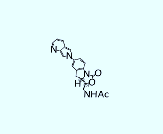 CC(=O)NC[C@@H]1OC(=O)N2c3ccc(-n4cc5cccnc5c4)cc3C[C@@H]12